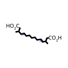 CC(/C=C/CCCCC/C=C/C(C)CC(=O)O)CC(=O)O